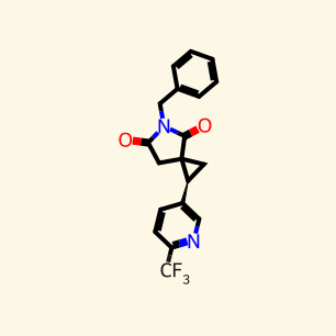 O=C1CC2(C[C@H]2c2ccc(C(F)(F)F)nc2)C(=O)N1Cc1ccccc1